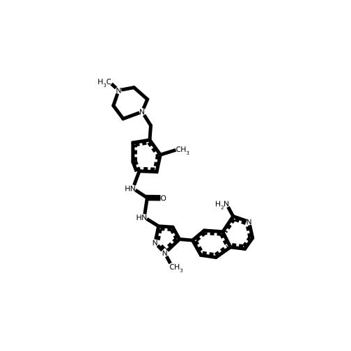 Cc1cc(NC(=O)Nc2cc(-c3ccc4ccnc(N)c4c3)n(C)n2)ccc1CN1CCN(C)CC1